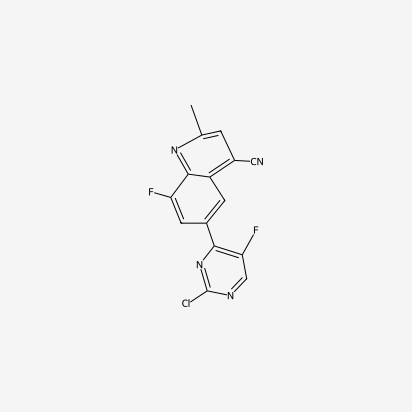 Cc1cc(C#N)c2cc(-c3nc(Cl)ncc3F)cc(F)c2n1